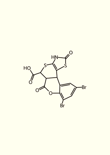 O=C(O)C1Sc2[nH]c(=O)sc2C2c3cc(Br)cc(Br)c3OC(=O)C12